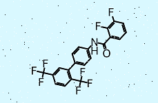 O=C(Nc1ccc(-c2cc(C(F)(F)F)ccc2C(F)(F)F)cc1)c1cccc(F)c1F